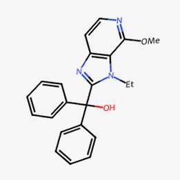 CCn1c(C(O)(c2ccccc2)c2ccccc2)nc2ccnc(OC)c21